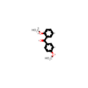 O=C(O)Oc1ccc(C(=O)c2ccccc2OC(=O)O)cc1